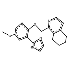 COc1ccc(SCc2nccc3c2CCCC3)c(-c2ncc[nH]2)c1